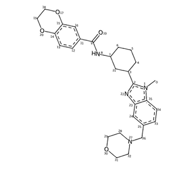 Cn1c(C2CCCC(NC(=O)c3ccc4c(c3)OCCO4)C2)nc2cc(CN3CCOCC3)ccc21